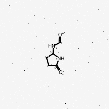 O=CNC1CCC(=O)N1